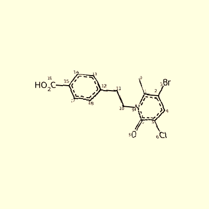 Cc1c(Br)cc(Cl)c(=O)n1CCc1ccc(C(=O)O)cc1